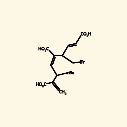 C=C(C(=O)O)C(C=C(C(=O)O)C(C=CC(=O)O)CC(C)C)CCCC